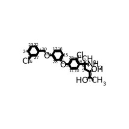 CC(O)C(O)CC(C)(N)c1ccc(Oc2cccc(OCc3cccc(Cl)c3)c2)cc1Cl